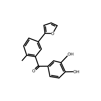 Cc1ccc(-c2ccco2)cc1C(=O)c1ccc(O)c(O)c1